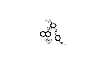 Nc1ccc(SSc2ccc(N)cc2)cc1.O=S(=O)(O)c1ccc(O)c2ccccc12